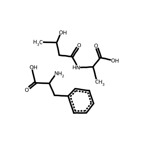 CC(O)CC(=O)NC(C)C(=O)O.NC(Cc1ccccc1)C(=O)O